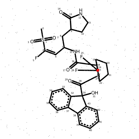 CS(=O)(=O)C(F)=CC(CC1CCNC1=O)NC(=O)C1C2CCC(CC2(F)F)N1C(=O)C1(O)c2ccccc2-c2ccccc21